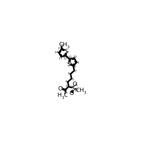 CC(=O)C(CCCCc1ccc(-c2ccc(C)s2)s1)S(C)(=O)=O